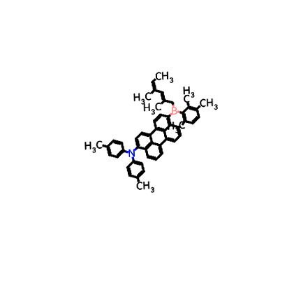 C/C=C(C)\C=C(/C)CB(c1c(C)ccc(C)c1C)c1ccc2c3ccc(N(c4ccc(C)cc4)c4ccc(C)cc4)c4cccc(c5cccc1c52)c43